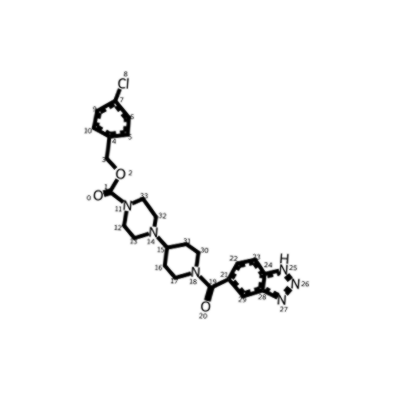 O=C(OCc1ccc(Cl)cc1)N1CCN(C2CCN(C(=O)c3ccc4[nH]nnc4c3)CC2)CC1